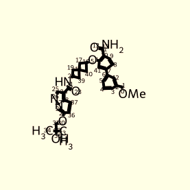 COCc1cccc(-c2ccc(C(N)=O)c(OC3CC4(CC(NC(=O)c5cnn6cc(OCC(C)(C)O)ccc56)C4)C3)c2)c1